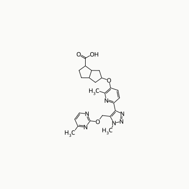 Cc1ccnc(OCc2c(-c3ccc(OC4CC5CCC(C(=O)O)C5C4)c(C)n3)nnn2C)n1